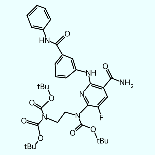 CC(C)(C)OC(=O)N(CCN(C(=O)OC(C)(C)C)c1nc(Nc2cccc(C(=O)Nc3ccccc3)c2)c(C(N)=O)cc1F)C(=O)OC(C)(C)C